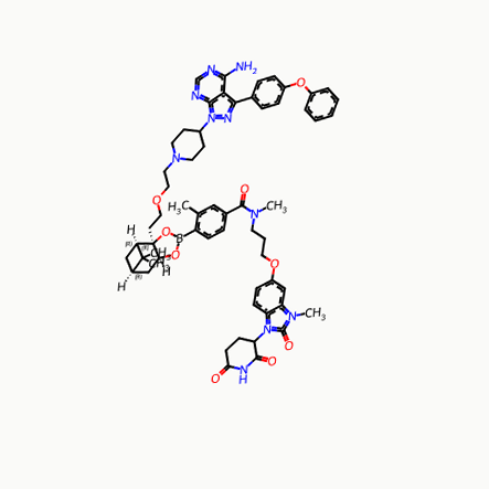 Cc1cc(C(=O)N(C)CCCOc2ccc3c(c2)n(C)c(=O)n3C2CCC(=O)NC2=O)ccc1B1O[C@H]2C[C@H]3C[C@H](C3(C)C)[C@@]2(CCOCCN2CCC(n3nc(-c4ccc(Oc5ccccc5)cc4)c4c(N)ncnc43)CC2)O1